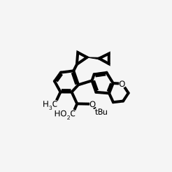 Cc1ccc(C2C[C@H]2C2CC2)c(-c2ccc3c(c2)CCCO3)c1C(OC(C)(C)C)C(=O)O